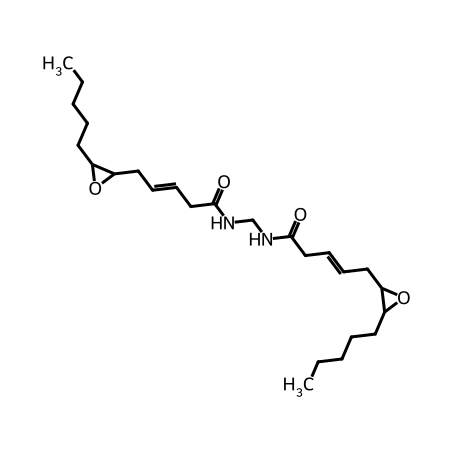 CCCCCC1OC1C/C=C/CC(=O)NCNC(=O)C/C=C/CC1OC1CCCCC